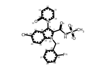 CS(=O)(=O)NC(=O)c1c(-n2ccccc2=O)c2cc(Cl)ccc2n1Cc1ccccc1F